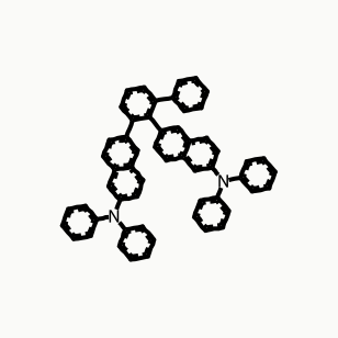 c1ccc(-c2cccc(-c3ccc4cc(N(c5ccccc5)c5ccccc5)ccc4c3)c2-c2ccc3cc(N(c4ccccc4)c4ccccc4)ccc3c2)cc1